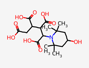 CC1(C)CC(O)CC(C)(C)N1C(C(=O)O)C(C(=O)O)C(CC(=O)O)C(=O)O